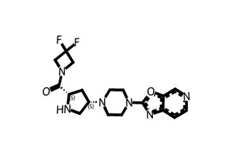 O=C([C@@H]1C[C@H](N2CCN(c3nc4ccncc4o3)CC2)CN1)N1CC(F)(F)C1